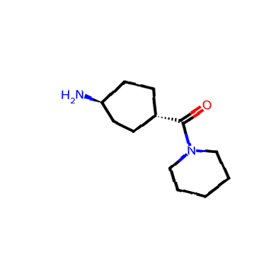 N[C@H]1CC[C@H](C(=O)N2CCCCC2)CC1